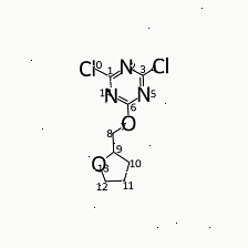 Clc1nc(Cl)nc(OCC2CCCO2)n1